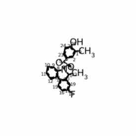 Cc1cc(S(=O)(=O)N2c3ccccc3-c3ccc(F)cc3C2C)ccc1O